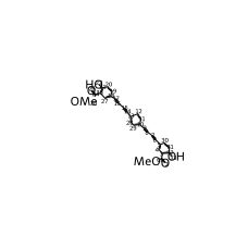 COC(=O)c1cc(C#CC#Cc2ccc(C#CC#Cc3ccc(O)c(C(=O)OC)c3)cc2)ccc1O